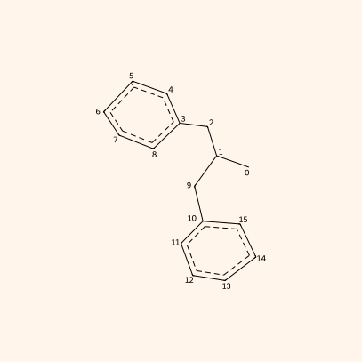 CC(Cc1c[c]ccc1)Cc1ccccc1